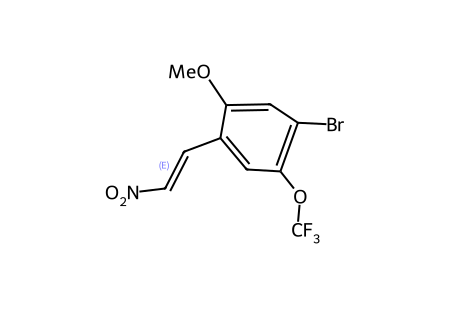 COc1cc(Br)c(OC(F)(F)F)cc1/C=C/[N+](=O)[O-]